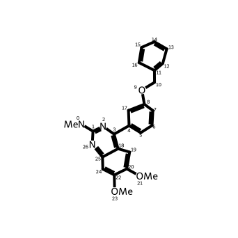 CNc1nc(-c2cccc(OCc3ccccc3)c2)c2cc(OC)c(OC)cc2n1